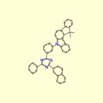 CC1(C)c2ccccc2-c2ccc3c(c21)c1ccccc1n3-c1cccc(-c2nc(-c3ccccc3)nc(-c3ccc4ccccc4c3)n2)c1